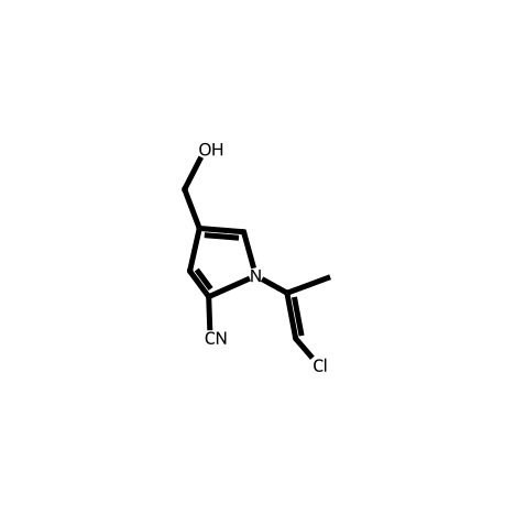 CC(=CCl)n1cc(CO)cc1C#N